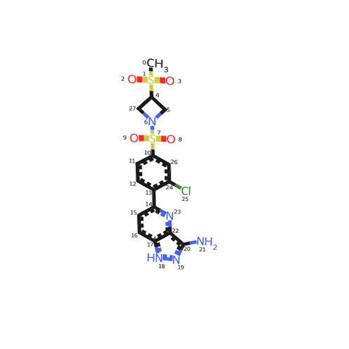 CS(=O)(=O)C1CN(S(=O)(=O)c2ccc(-c3ccc4[nH]nc(N)c4n3)c(Cl)c2)C1